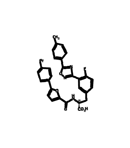 Cc1ccc(-c2nc(-c3cc(C[C@@H](NC(=O)c4ccc(-c5ccc(C(C)C)cc5)o4)C(=O)O)ccc3F)no2)cc1